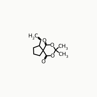 C=CC1CCCC12C(=O)OC(C)(C)OC2=O